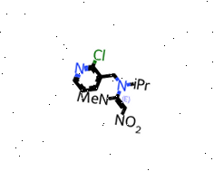 CN/C(=C\[N+](=O)[O-])N(Cc1cccnc1Cl)C(C)C